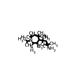 CC(C)N1C(C)C(=O)C(C(C)(C)CC(C)(C)N)C(C)(C)CC1(C)C